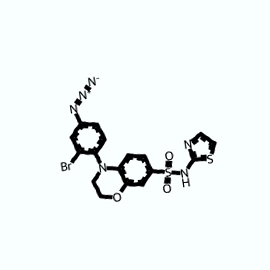 [N-]=[N+]=Nc1ccc(N2CCOc3cc(S(=O)(=O)Nc4nccs4)ccc32)c(Br)c1